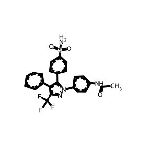 CC(=O)Nc1ccc(-n2nc(C(F)(F)F)c(-c3ccccc3)c2-c2ccc(S(N)(=O)=O)cc2)cc1